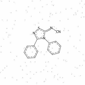 N#CN=c1snc(-c2ccccc2)n1-c1ccccc1